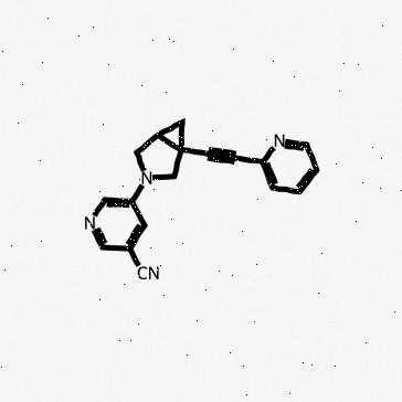 N#Cc1cncc(N2CC3CC3(C#Cc3ccccn3)C2)c1